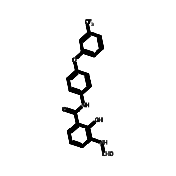 O=CNc1cccc(C(=O)Nc2ccc(Oc3cccc(C(F)(F)F)c3)cc2)c1O